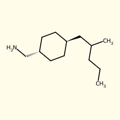 CCCC(C)C[C@H]1CC[C@H](CN)CC1